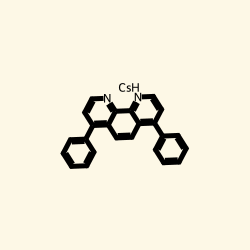 [CsH].c1ccc(-c2ccnc3c2ccc2c(-c4ccccc4)ccnc23)cc1